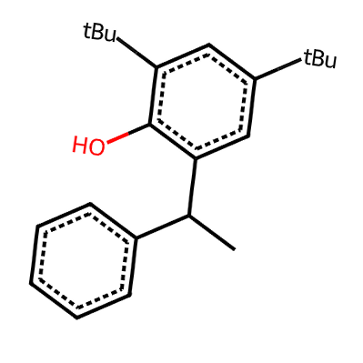 CC(c1ccccc1)c1cc(C(C)(C)C)cc(C(C)(C)C)c1O